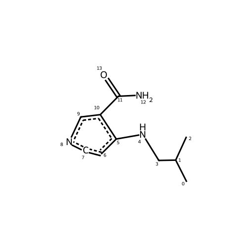 CC(C)CNc1ccncc1C(N)=O